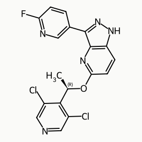 C[C@@H](Oc1ccc2[nH]nc(-c3ccc(F)nc3)c2n1)c1c(Cl)cncc1Cl